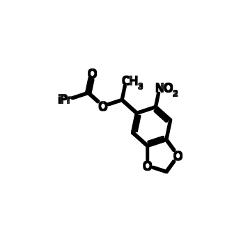 CC(C)C(=O)OC(C)c1cc2c(cc1[N+](=O)[O-])OCO2